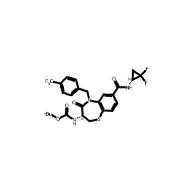 CC(C)(C)OC(=O)N[C@H]1CSc2ccc(C(=O)N[C@@H]3CC3(F)F)cc2N(Cc2ccc(C(F)(F)F)cc2)C1=O